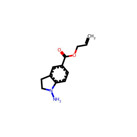 C=CCOC(=O)c1ccc2c(c1)CCN2N